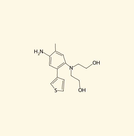 Cc1cc(N(CCO)CCO)c(-c2ccsc2)cc1N